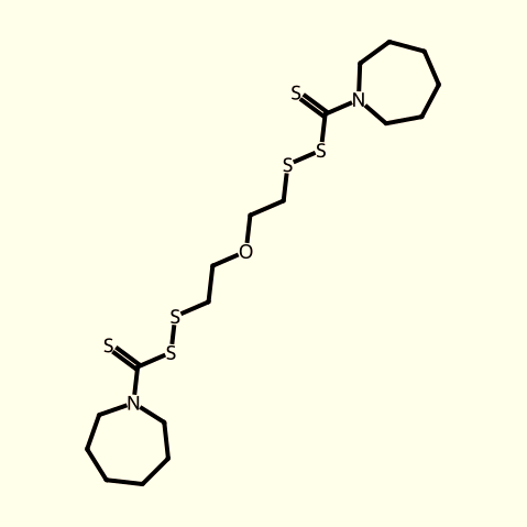 S=C(SSCCOCCSSC(=S)N1CCCCCC1)N1CCCCCC1